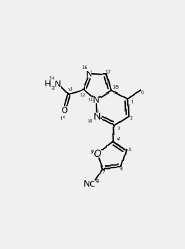 Cc1cc(-c2ccc(C#N)o2)nn2c(C(N)=O)ncc12